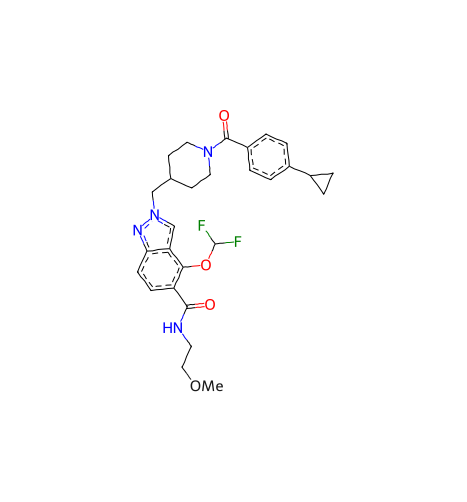 COCCNC(=O)c1ccc2nn(CC3CCN(C(=O)c4ccc(C5CC5)cc4)CC3)cc2c1OC(F)F